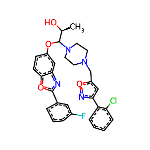 C[C@H](O)C(Oc1ccc2oc(-c3cccc(F)c3)nc2c1)N1CCN(Cc2cc(-c3ccccc3Cl)no2)CC1